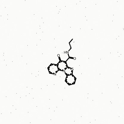 CCCNC(=O)c1c(=O)c2cccnc2n2c1sc1ccccc12